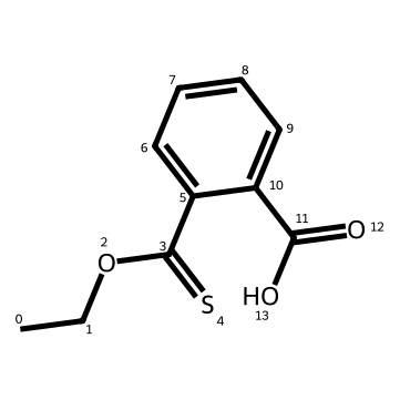 CCOC(=S)c1ccccc1C(=O)O